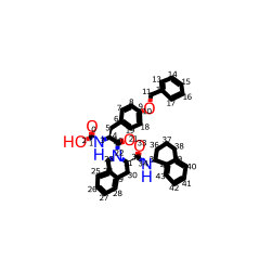 O=C(O)N[C@@H](Cc1ccc(OCc2ccccc2)cc1)C(=O)N1Cc2ccccc2C[C@H]1C(=O)N[C@@H]1CCCc2ccccc21